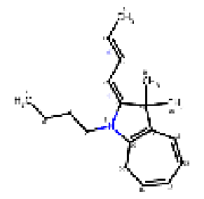 C/C=C/C=C1/N(CCCC)C2=C(C=CC=CC2)C1(C)C